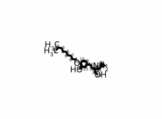 CC(C)CCCCCCCOc1ccc(CC[C@@](N)(CO)CC2CC2)cc1O